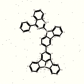 c1ccc(-c2nc(-n3c4ccccc4c4cc(-c5cc6c7ccccc7n7c8ccccc8c(c5)c67)ccc43)nc3ccccc23)cc1